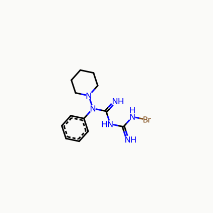 N=C(NBr)NC(=N)N(c1ccccc1)N1CCCCC1